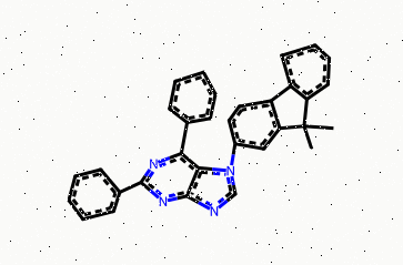 CC1(C)c2ccccc2-c2ccc(-n3cnc4nc(-c5ccccc5)nc(-c5ccccc5)c43)cc21